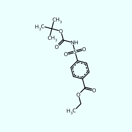 CCOC(=O)c1ccc(S(=O)(=O)NC(=O)OC(C)(C)C)cc1